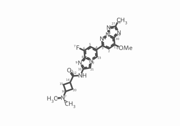 COc1cc(-c2cc(F)c3nc(NC(=O)C4CC(N(C)C)C4)cn3c2)nn2nc(C)nc12